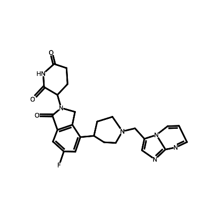 O=C1CCC(N2Cc3c(cc(F)cc3C3CCN(Cc4cnc5ncccn45)CC3)C2=O)C(=O)N1